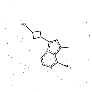 Cc1nc(C2CC(O)C2)n2ccnc(N)c12